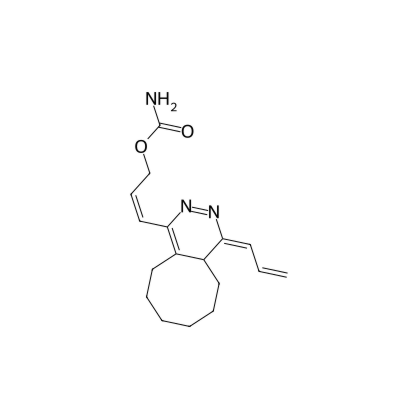 C=C/C=C1/N=NC(/C=C\COC(N)=O)=C2CCCCCCC21